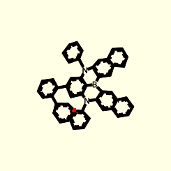 c1ccc(-c2ccccc2-c2cc3c4c(c2)N(c2ccccc2)c2cc5ccccc5cc2B4c2cc4ccccc4cc2N3c2ccccc2)cc1